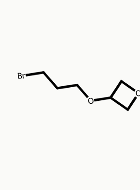 BrCCCOC1COC1